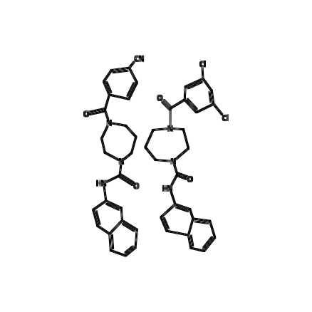 N#Cc1ccc(C(=O)N2CCCN(C(=O)Nc3ccc4ccccc4c3)CC2)cc1.O=C(Nc1ccc2ccccc2c1)N1CCCN(C(=O)c2cc(Cl)cc(Cl)c2)CC1